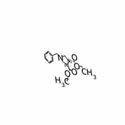 CCOC(=O)[C@H]1CN(Cc2ccccc2)C[C@@H]1C(=O)OCC